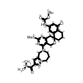 CSc1nc2c(c(N3CCCn4nc(C(=O)N(C)C)cc4C3)n1)COC1(CCCc3c(Cl)cc(NC(=O)OC(C)(C)C)cc31)C2